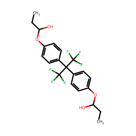 CCC(O)Oc1ccc(C(c2ccc(OC(O)CC)cc2)(C(F)(F)F)C(F)(F)F)cc1